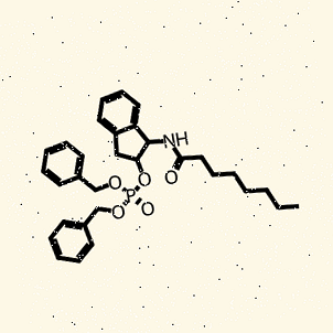 CCCCCCCC(=O)NC1c2ccccc2CC1OP(=O)(OCc1ccccc1)OCc1ccccc1